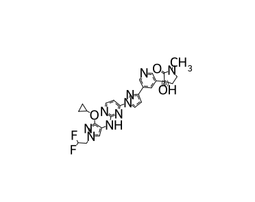 CN1CC[C@](O)(c2cncc(-c3ccn(-c4ccnc(Nc5cn(CC(F)F)nc5OC5CC5)n4)n3)c2)C1=O